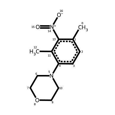 Cc1ccc(N2CCOCC2)c(C)c1[N+](=O)[O-]